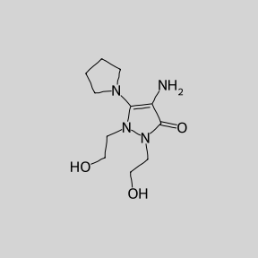 Nc1c(N2CCCC2)n(CCO)n(CCO)c1=O